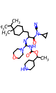 CC(OC(=O)NC(=NC(CC1CCC(C)(C(C)C)CC1)C(=O)N(C#N)C1CC1)N1CCOCC1)C1CCNCC1